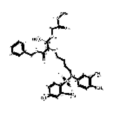 Cc1ccc(N(CCCCO[C@@H](C(=O)OCc2ccccc2)[C@@H](OCC(=O)OC(C)(C)C)C(=O)O)S(=O)(=O)c2ccc([N+](=O)[O-])cc2[N+](=O)[O-])cc1C